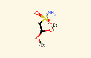 CCOC(CS(N)(=O)=O)OCC